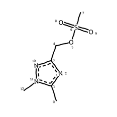 Cc1nc(COS(C)(=O)=O)nn1C